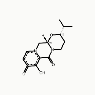 CC(C)[C@@H]1CCN2C(=O)c3c(O)c(=O)ccn3C[C@@H]2O1